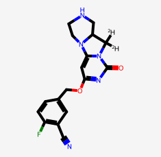 [2H]C1([2H])C2CNCCN2c2cc(OCc3ccc(F)c(C#N)c3)nc(=O)n21